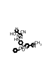 Cn1cc(-c2ccc(N(C(=O)OCc3ccccc3)[C@H]3CC[C@H](Nc4ncc(C#N)c(C5=C(O)C=NC5)n4)CC3)nc2)cn1